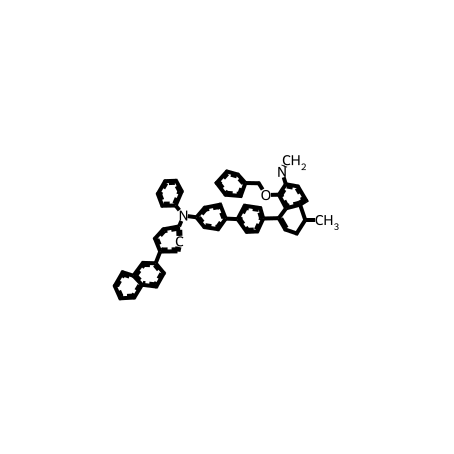 C=Nc1ccc2c(c1OCc1ccccc1)C(c1ccc(-c3ccc(N(c4ccccc4)c4ccc(-c5ccc6ccccc6c5)cc4)cc3)cc1)=CCC2C